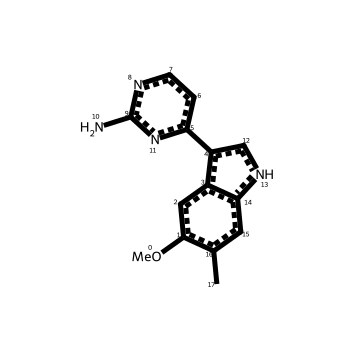 COc1cc2c(-c3ccnc(N)n3)c[nH]c2cc1C